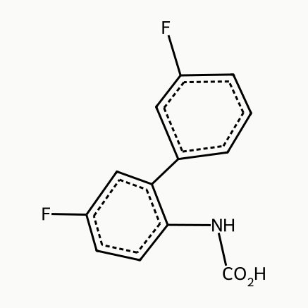 O=C(O)Nc1ccc(F)cc1-c1cccc(F)c1